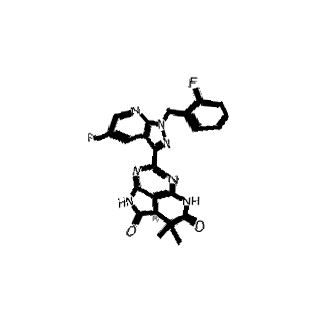 CC1(C)C(=O)Nc2nc(-c3nn(Cc4ccccc4F)c4ncc(F)cc34)nc3c2[C@@]1(C)C(=O)N3